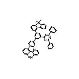 CC1(C)c2ccccc2-c2c(-c3cc(-c4ccc(-c5cccc6cnc7cccnc7c56)cc4)cc(-c4nc(-c5ccccc5)nc(-c5ccccc5)n4)c3)cccc21